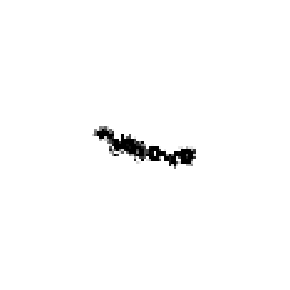 CN(CCC1CCN(C(=O)Oc2ccc(C(=O)NCCC(C)(C)C)cc2)CC1)Cc1ccccc1